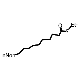 C[CH]SC(=O)CCCCCCCCCCCCCCCCCC